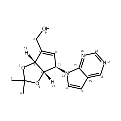 CC1(C)O[C@@H]2[C@H](O1)C(CO)=C[C@H]2n1ccc2cncnc21